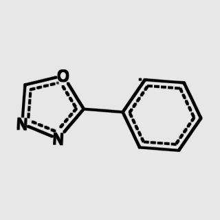 [c]1ccccc1-c1nnco1